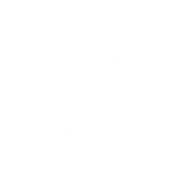 O=C(O)C1CCCC(C2CCCCC2O)C1